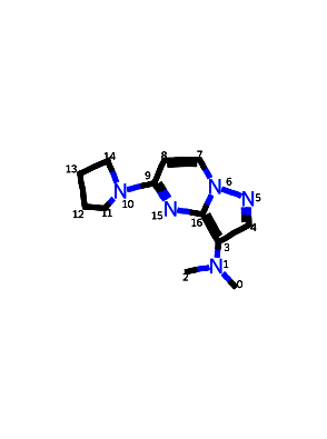 CN(C)c1cnn2ccc(N3CCCC3)nc12